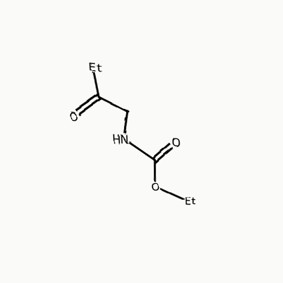 CCOC(=O)NCC(=O)CC